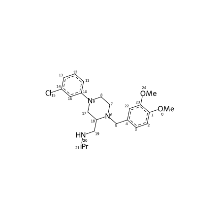 COc1ccc(CN2CCN(c3cccc(Cl)c3)CC2CNC(C)C)cc1OC